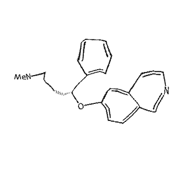 CNCC[C@@H](Oc1ccc2cnccc2c1)c1ccccc1